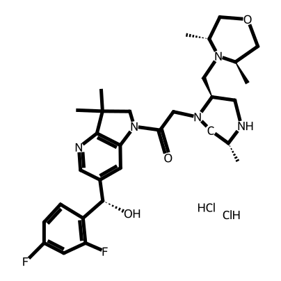 C[C@@H]1CN(CC(=O)N2CC(C)(C)c3ncc([C@H](O)c4ccc(F)cc4F)cc32)[C@@H](CN2[C@H](C)COC[C@H]2C)CN1.Cl.Cl